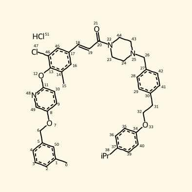 Cc1cccc(COc2ccc(Oc3c(C)cc(C=CC(=O)N4CCN(Cc5ccc(CCOc6ccc(C(C)C)cc6)cc5)CC4)cc3Cl)nc2)c1.Cl